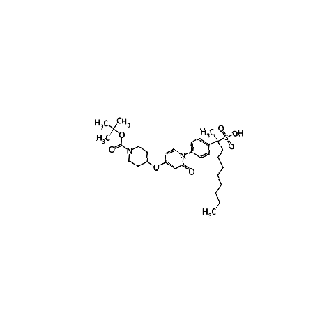 CCCCCCCCC(C)(c1ccc(-n2ccc(OC3CCN(C(=O)OC(C)(C)C)CC3)cc2=O)cc1)S(=O)(=O)O